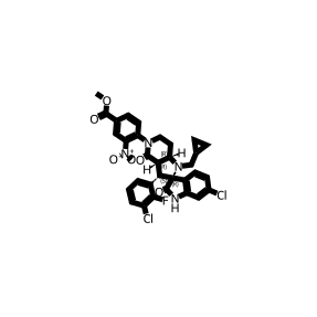 COC(=O)c1ccc(N2CC[C@@H]3[C@H](C2=O)[C@@H](c2cccc(Cl)c2F)[C@@]2(C(=O)Nc4cc(Cl)ccc42)N3CC2CC2)c([N+](=O)[O-])c1